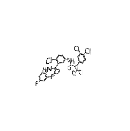 O=C(Nc1ccc(F)cc1F)c1cc(NC(=O)C2C(c3ccc(Cl)c(Cl)c3)C2(Cl)Cl)ccc1Cl